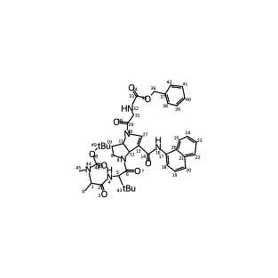 CC(C(=O)NC(C(=O)N1CCC2C1C(C(=O)Nc1cccc3ccccc13)=CN2C(=O)CNC(=O)OCc1ccccc1)C(C)(C)C)N(C)C(=O)OC(C)(C)C